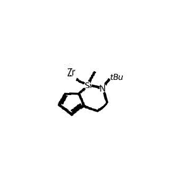 CC(C)(C)N1CCC2=CC=CC2[Si]1(C)C.[Zr]